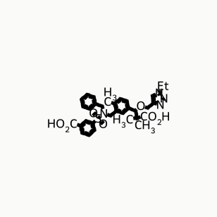 CCn1cc(COC(c2ccc(C)c(CN(Cc3ccccc3)S(=O)(=O)c3cccc(C(=O)O)c3)c2)C(C)(C)C(=O)O)nn1